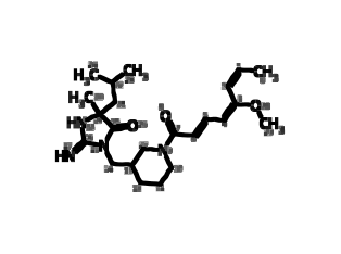 C\C=C/C(=C\C=C\C(=O)N1CCCC(CN2C(=N)NC(C)(CC(C)C)C2=O)C1)OC